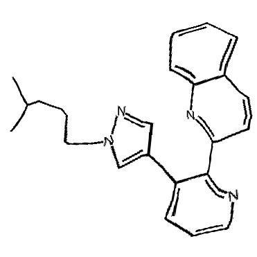 CC(C)CCn1cc(-c2cccnc2-c2ccc3ccccc3n2)cn1